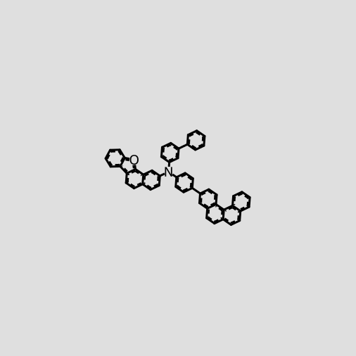 c1ccc(-c2cccc(N(c3ccc(-c4ccc5c(ccc6ccc7ccccc7c65)c4)cc3)c3ccc4ccc5c6ccccc6oc5c4c3)c2)cc1